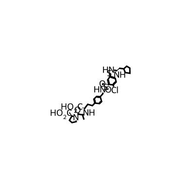 CC(N[C@@H](CCc1ccc(CNS(=O)(=O)c2cc3c(cc2Cl)N[C@H](CC2CCCC2)NS3)cc1)C(=O)O)C(=O)N1CCC[C@H]1C(=O)O